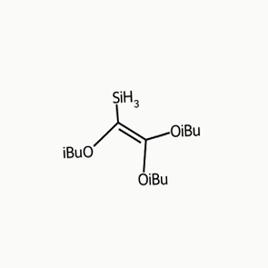 CC(C)COC([SiH3])=C(OCC(C)C)OCC(C)C